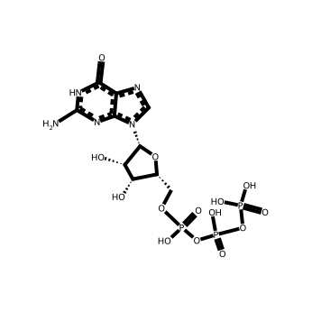 Nc1nc2c(ncn2[C@@H]2O[C@H](COP(=O)(O)OP(=O)(O)OP(=O)(O)O)[C@H](O)[C@@H]2O)c(=O)[nH]1